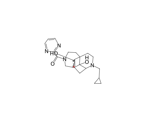 O=C(c1ncccn1)N1CCC23CCN(CC4CC4)C(Cc4ccc(O)cc42)C3(O)CC1